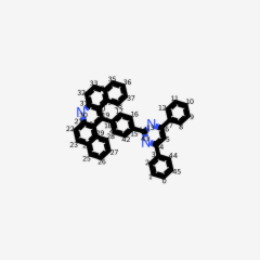 c1ccc(-c2cc(-c3ccccc3)nc(-c3ccc(-c4c5c(ccc6ccccc65)nc5ccc6ccccc6c45)cc3)n2)cc1